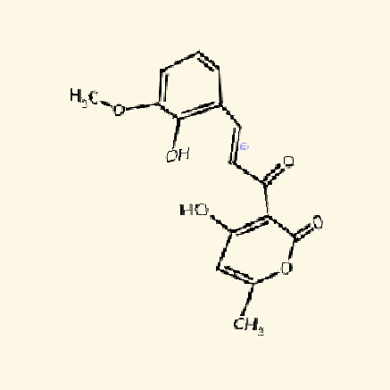 COc1cccc(/C=C/C(=O)c2c(O)cc(C)oc2=O)c1O